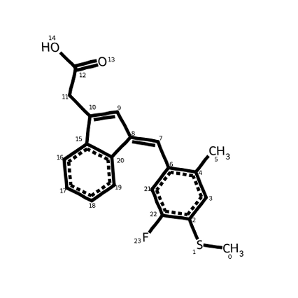 CSc1cc(C)c(/C=C2/C=C(CC(=O)O)c3ccccc32)cc1F